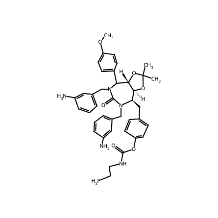 COc1ccc(C2[C@@H]3OC(C)(C)O[C@H]3[C@@H](Cc3ccc(OC(=O)NCCP)cc3)N(Cc3cccc(N)c3)C(=O)N2Cc2cccc(N)c2)cc1